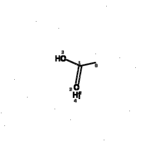 CC(=O)O.[Hf]